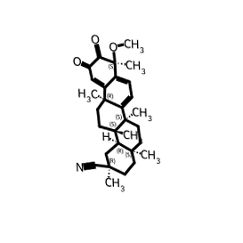 CO[C@]1(C)C(=O)C(=O)C=C2C1=CC=C1[C@@]2(C)CC[C@@]2(C)[C@@H]3C[C@](C)(C#N)CC[C@]3(C)CC[C@]12C